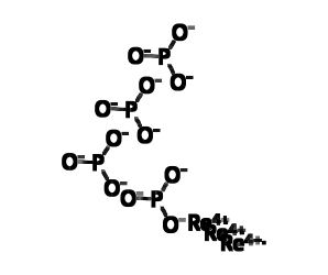 [O-]P([O-])[O-].[O-]P([O-])[O-].[O-]P([O-])[O-].[O-]P([O-])[O-].[Re+4].[Re+4].[Re+4]